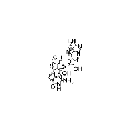 Nc1nc2c(ncn2[C@@H]2O[C@H](CO)[C@@H](F)[C@H]2P(O)(=S)OCC2O[C@@H](n3nnc4c(N)ncnc43)[C@@H](F)[C@@H]2O)c(=O)[nH]1